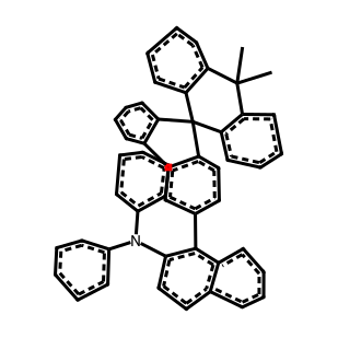 CC1(C)c2ccccc2C2(c3ccccc3-c3cc(-c4c(N(c5ccccc5)c5ccccc5)ccc5ccccc45)ccc32)c2ccccc21